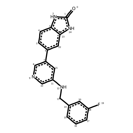 O=c1[nH]c2ccc(-c3cncc(NCc4cccc(F)c4)c3)cc2[nH]1